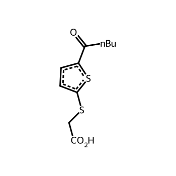 CCCCC(=O)c1ccc(SCC(=O)O)s1